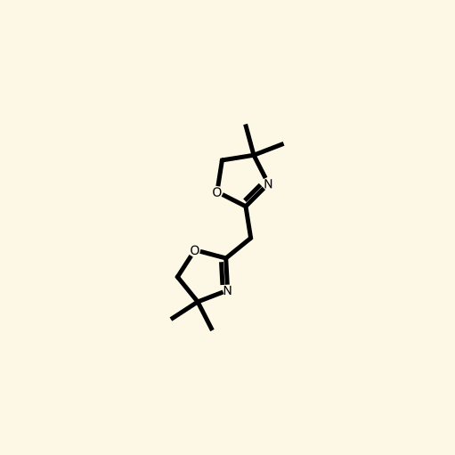 CC1(C)COC(CC2=NC(C)(C)CO2)=N1